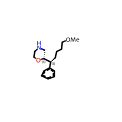 COCCCC[C@@H](c1ccccc1)[C@H]1CNCCO1